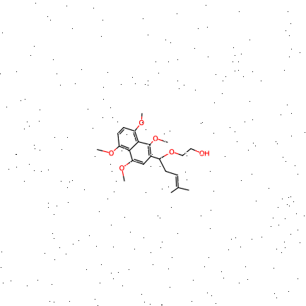 COc1ccc(OC)c2c(OC)c(C(CC=C(C)C)OCCO)cc(OC)c12